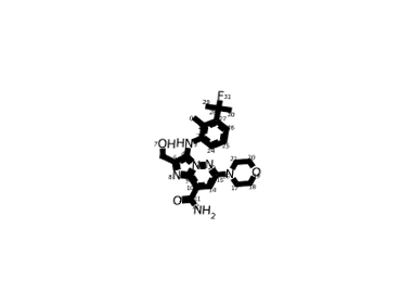 Cc1c(Nc2c(CO)nc3c(C(N)=O)cc(N4CCOCC4)nn23)cccc1C(C)(C)F